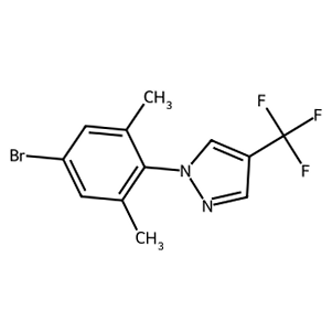 Cc1cc(Br)cc(C)c1-n1cc(C(F)(F)F)cn1